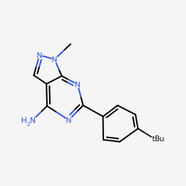 Cn1ncc2c(N)nc(-c3ccc(C(C)(C)C)cc3)nc21